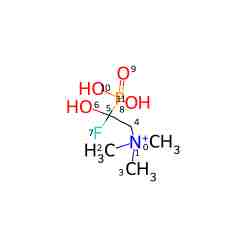 C[N+](C)(C)CC(O)(F)P(=O)(O)O